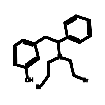 Oc1cccc(CC(c2ccccc2)N(CCBr)CCBr)c1